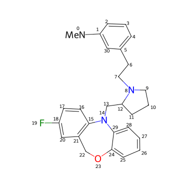 CNc1cccc(CCN2CCCC2CN2c3ccc(F)cc3COc3ccccc32)c1